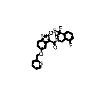 Cn1nc2ccc(OCc3ccccn3)cc2c1C(=O)NCc1c(F)cccc1C(F)(F)F